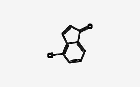 O=C1C=Cc2c(Cl)cccc21